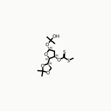 CSC(=S)O[C@@H]1C[C@@H](OC(C)(C)O)O[C@@H]1[C@H]1COC(C)(C)O1